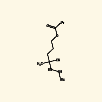 CC(C)C(=O)OCCCC(C)(C#N)NNC(C)(C)C